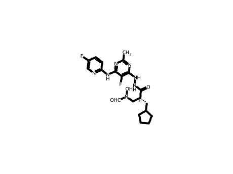 Cc1nc(NNC(=O)[C@H](CC2CCCC2)CN(O)C=O)c(F)c(Nc2ccc(F)cn2)n1